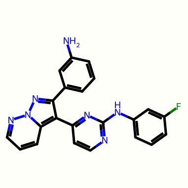 Nc1cccc(-c2nn3ncccc3c2-c2ccnc(Nc3cccc(F)c3)n2)c1